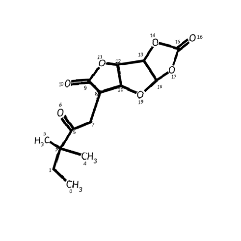 CCC(C)(C)C(=O)CC1C(=O)OC2C3OC(=O)OC3OC12